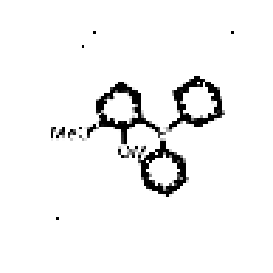 COc1cccc(P(c2ccccc2)c2ccccc2)c1OC